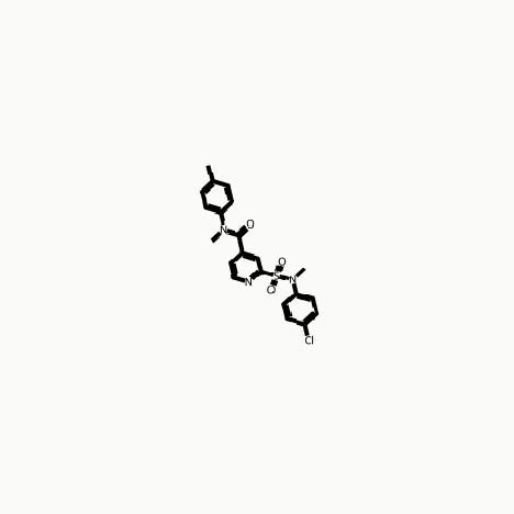 Cc1ccc(N(C)C(=O)c2ccnc(S(=O)(=O)N(C)c3ccc(Cl)cc3)c2)cc1